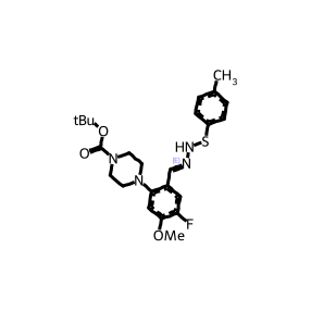 COc1cc(N2CCN(C(=O)OC(C)(C)C)CC2)c(/C=N/NSc2ccc(C)cc2)cc1F